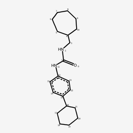 O=C(NCC1CCCCCC1)Nc1ccc(C2CCCCC2)cc1